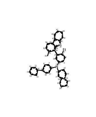 CCc1ccc(N(c2ccc(-c3ccccc3)cc2)c2ccc3ccccc3c2)cc1-c1c(C)ccc2c1sc1ccccc12